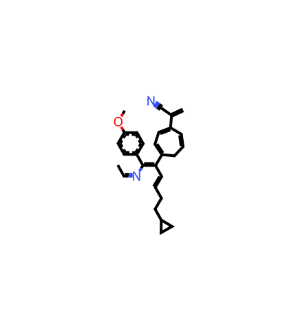 C=C(C#N)C1=CC=C(C(/C=C/CCC2CC2)=C(/N=C\C)c2ccc(OC)cc2)CC=C1